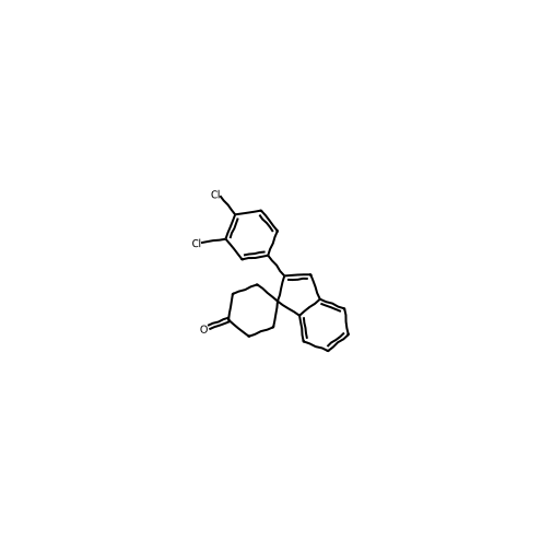 O=C1CCC2(CC1)C(c1ccc(Cl)c(Cl)c1)=Cc1ccccc12